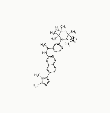 BC1(C)CC(B)(C)C(C)(C)N(c2cc(C(=C)Nc3cc4cc(-c5cnc(C)n5C)ccc4cn3)ccn2)C1(B)C